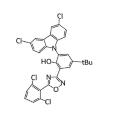 CC(C)(C)c1cc(-c2noc(-c3c(Cl)cccc3Cl)n2)c(O)c(-n2c3ccc(Cl)cc3c3cc(Cl)ccc32)c1